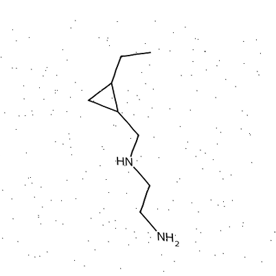 CCC1CC1CNCCN